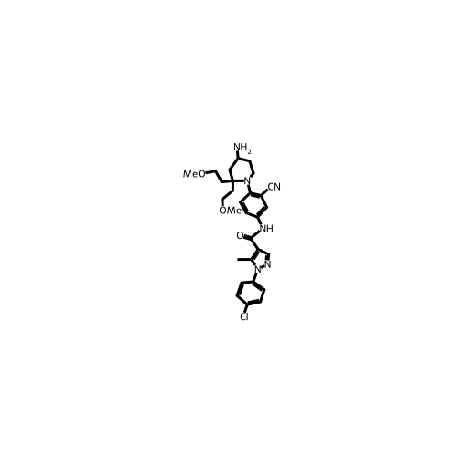 COCCC1(CCOC)CC(N)CCN1c1ccc(NC(=O)c2cnn(-c3ccc(Cl)cc3)c2C)cc1C#N